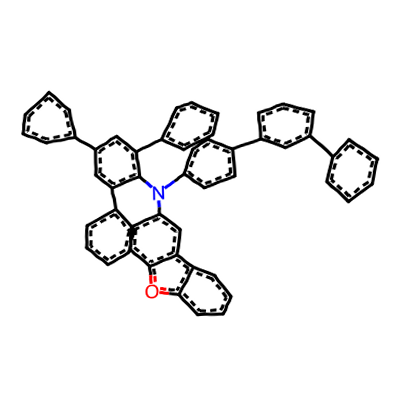 c1ccc(-c2cccc(-c3ccc(N(c4ccc5oc6ccccc6c5c4)c4c(-c5ccccc5)cc(-c5ccccc5)cc4-c4ccccc4)cc3)c2)cc1